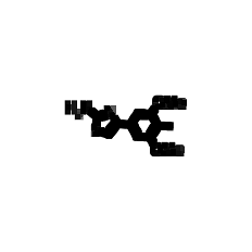 COc1cc(-c2csc(N)n2)cc(OC)c1C